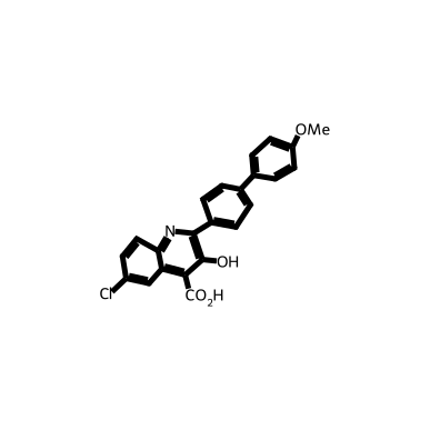 COc1ccc(-c2ccc(-c3nc4ccc(Cl)cc4c(C(=O)O)c3O)cc2)cc1